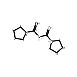 O=C(NC(=O)N1CCCC1)N1CCCC1